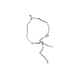 C[Si]1(CI)OCCSCCO1